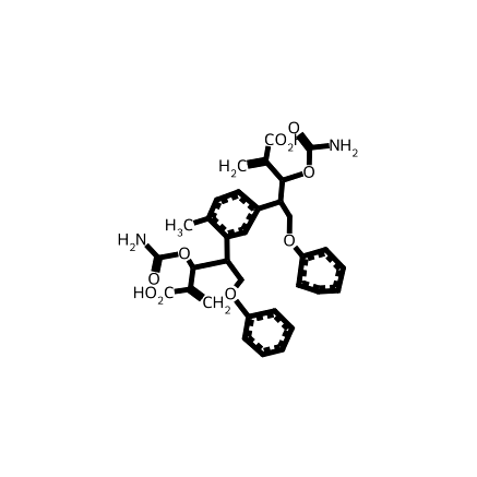 C=C(C(=O)O)C(OC(N)=O)C(COc1ccccc1)c1ccc(C)c(C(COc2ccccc2)C(OC(N)=O)C(=C)C(=O)O)c1